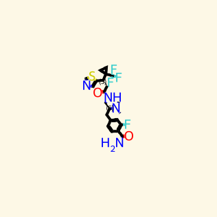 CN(C)[C@H](CNC(=O)C[C@H](c1cncs1)C1(C(F)(F)F)CC1)Cc1ccc(C(N)=O)c(F)c1